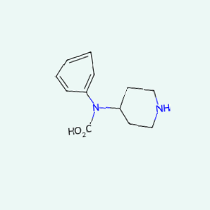 O=C(O)N(c1ccccc1)C1CCNCC1